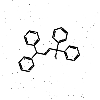 [Ti][C](C=CC(c1ccccc1)c1ccccc1)(c1ccccc1)c1ccccc1